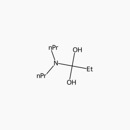 CCCN(CCC)C(O)(O)CC